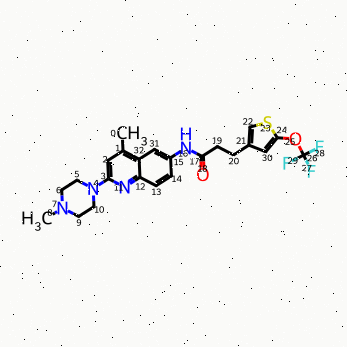 Cc1cc(N2CCN(C)CC2)nc2ccc(NC(=O)CCc3csc(OC(F)(F)F)c3)cc12